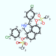 O=S(=O)(Oc1ccc2ccc(OS(=O)(=O)C(F)(F)F)c3c2c1C(c1ccc(Cl)cc1)N[C@H]3c1ccc(Cl)cc1)C(F)(F)F